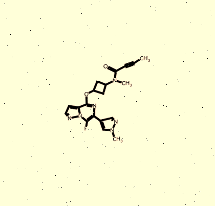 CC#CC(=O)N(C)C1CC(Oc2nc(-c3cnn(C)c3)c(F)n3nccc23)C1